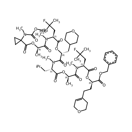 CC(C)C[C@@H](C(=O)O[C@H](C)C(=O)N(C)[C@@H](CC(C)(C)F)C(=O)O[C@H](CCC1=CCOCC1)C(=O)OCc1ccccc1)N(C)C(=O)[C@@H](CC1CCOCC1)OC(=O)[C@H](CC(C)(C)F)N(C)C(=O)[C@@H](C)OC(=O)C1(N(C)C(=O)OC(C)(C)C)CC1